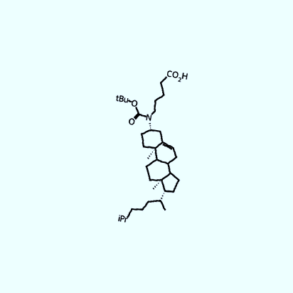 CC(C)CCCC(C)[C@H]1CCC2C3CC=C4C[C@@H](N(CCCCC(=O)O)C(=O)OC(C)(C)C)CC[C@]4(C)C3CC[C@@]21C